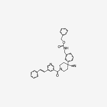 N#CC1(c2cccc(CNC(=O)OCc3ccccc3)c2)CCN(C(=O)c2cncc(C=Cc3ccccc3)c2)CC1